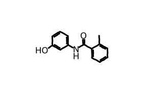 Cc1ccccc1C(=O)Nc1cccc(O)c1